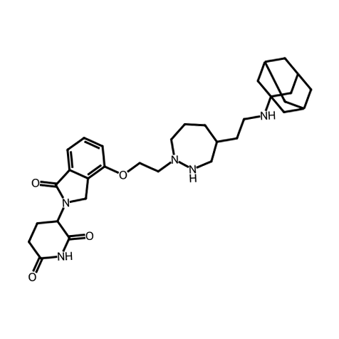 O=C1CCC(N2Cc3c(OCCN4CCCC(CCNC56CC7CC(CC(C7)C5)C6)CN4)cccc3C2=O)C(=O)N1